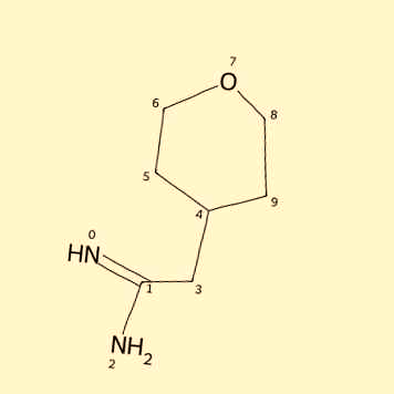 N=C(N)CC1CCOCC1